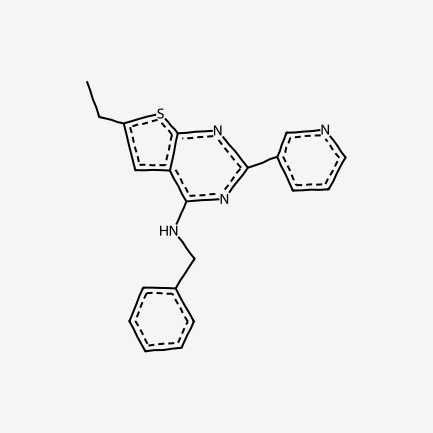 CCc1cc2c(NCc3ccccc3)nc(-c3cccnc3)nc2s1